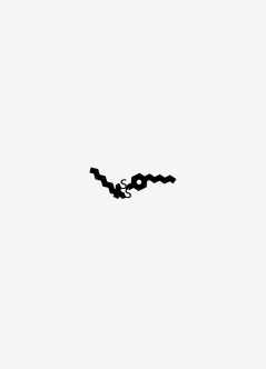 CCCCCCCC1(C)CSC(C2CCC(CCCCCC)CC2)SC1